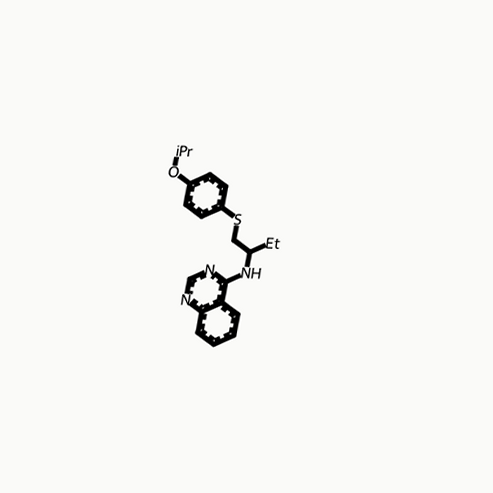 CCC(CSc1ccc(OC(C)C)cc1)Nc1ncnc2ccccc12